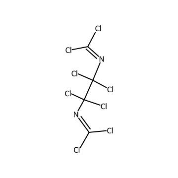 ClC(Cl)=NC(Cl)(Cl)C(Cl)(Cl)N=C(Cl)Cl